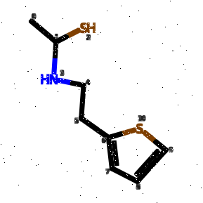 CC(S)NCCc1cccs1